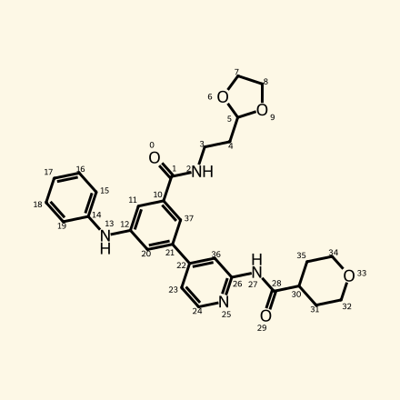 O=C(NCCC1OCCO1)c1cc(Nc2ccccc2)cc(-c2ccnc(NC(=O)C3CCOCC3)c2)c1